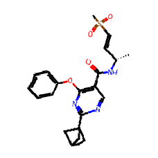 C[C@@H](/C=C/S(C)(=O)=O)NC(=O)c1cnc(C23CC(C2)C3)nc1Oc1ccccc1